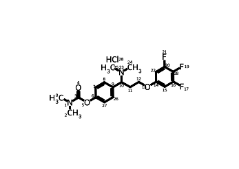 CN(C)C(=O)Oc1ccc(C(CCOc2cc(F)c(F)c(F)c2)N(C)C)cc1.Cl